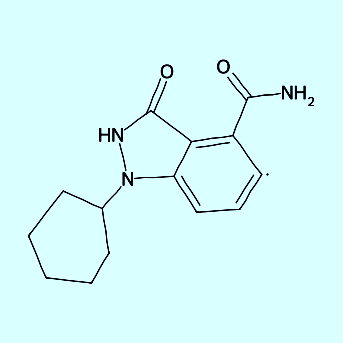 NC(=O)c1[c]ccc2c1c(=O)[nH]n2C1CCCCC1